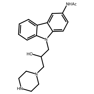 CC(=O)Nc1ccc2c(c1)c1ccccc1n2CC(O)CN1CCNCC1